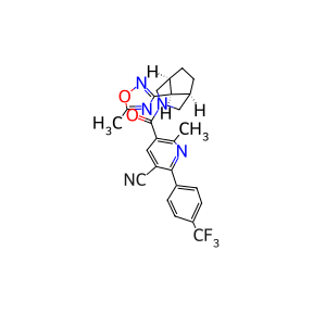 Cc1nc([C@H]2[C@@H]3CC[C@H]2CN(C(=O)c2cc(C#N)c(-c4ccc(C(F)(F)F)cc4)nc2C)C3)no1